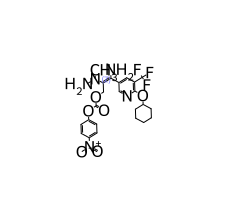 CN(N)/C(COC(=O)Oc1ccc([N+](=O)[O-])cc1)=C(\N)c1cnc(OC2CCCCC2)c(C(F)(F)F)c1